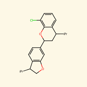 CC(C)C1COc2cc(C3CC(C(C)C)c4cccc(Cl)c4O3)ccc21